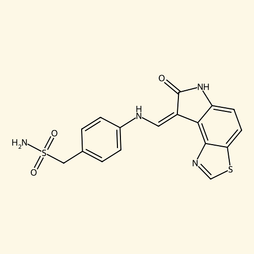 NS(=O)(=O)Cc1ccc(N/C=C2\C(=O)Nc3ccc4scnc4c32)cc1